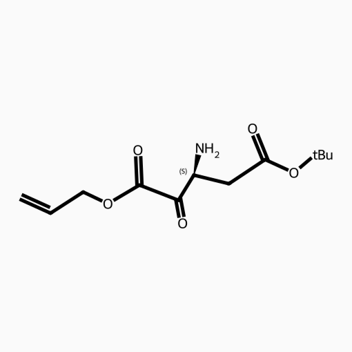 C=CCOC(=O)C(=O)[C@@H](N)CC(=O)OC(C)(C)C